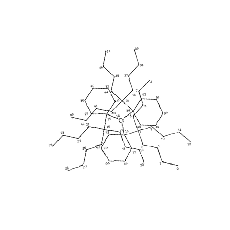 CCCCC(CCCC)(CCCC)[C]1([Cr]([C]2(C(CCCC)(CCCC)CCCC)CCCCC2)[C]2(C(CCCC)(CCCC)CCCC)CCCCC2)CCCCC1